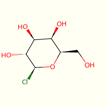 OC[C@H]1O[C@@H](Cl)[C@H](O)[C@@H](O)[C@H]1O